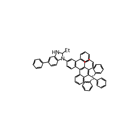 CCC1Nc2cc(-c3ccccc3)ccc2N1c1ccc(-c2c3ccccc3c(S(c3ccccc3)(c3ccccc3)c3ccccc3)c3ccccc23)c(-c2ccccc2)c1